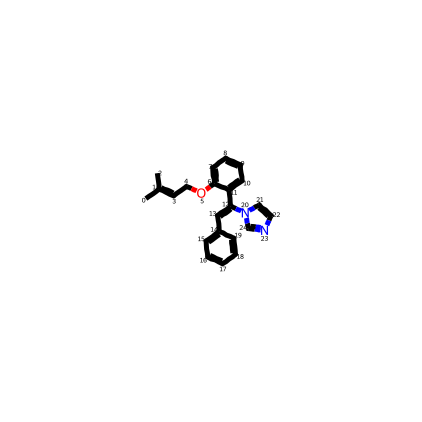 CC(C)=CCOc1ccccc1C(=Cc1ccccc1)n1ccnc1